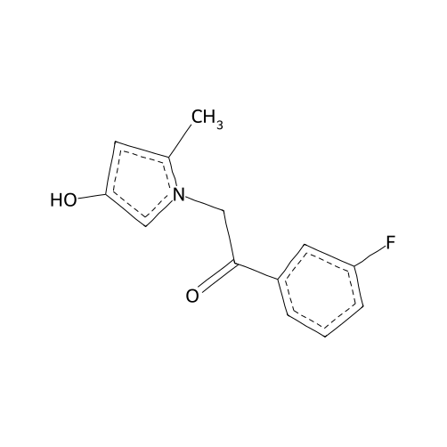 Cc1cc(O)cn1CC(=O)c1cccc(F)c1